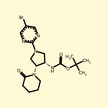 CC(C)(C)OC(=O)N[C@H]1CN(c2ncc(Br)cn2)C[C@H]1N1CCCCC1=O